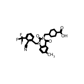 Cc1ccc2c(c1)c(=O)n(CC1CCC(C(=O)O)CC1)c(=O)n2Cc1cccc(C(F)(F)F)c1C#N